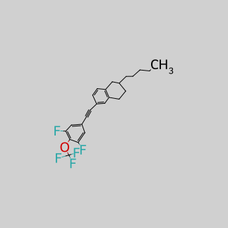 CCCCCC1CCc2cc(C#Cc3cc(F)c(OC(F)(F)F)c(F)c3)ccc2C1